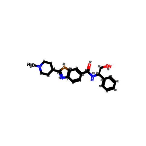 CN1CCC(c2nc3ccc(C(=O)N[C@@H](CO)c4ccccc4)cc3s2)CC1